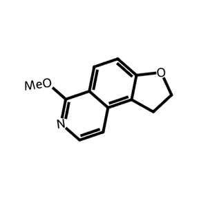 COc1nccc2c3c(ccc12)OCC3